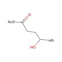 CCCC(O)CCC(=O)OC(C)=O